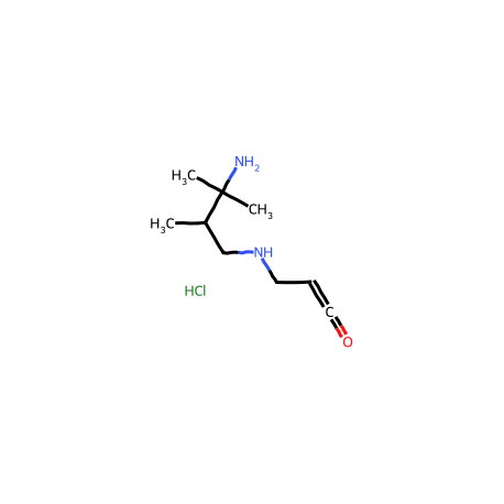 CC(CNCC=C=O)C(C)(C)N.Cl